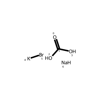 O=C(O)O.[K][Br].[NaH]